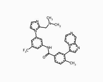 Cc1ccc(C(=O)Nc2cc(-n3ccnc3CN(C)C)cc(C(F)(F)F)c2)cc1-c1cnc2cnccn12